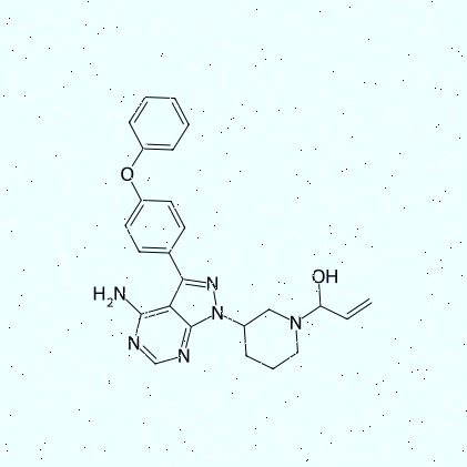 C=CC(O)N1CCCC(n2nc(-c3ccc(Oc4ccccc4)cc3)c3c(N)ncnc32)C1